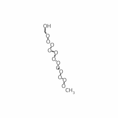 COOOOOOOOOOOOCO